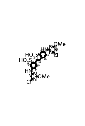 COc1nc(Cl)nc(Nc2ccc(C=Cc3ccc(Nc4nc(Cl)nc(OC)n4)cc3S(=O)(=O)O)c(S(=O)(=O)O)c2)n1